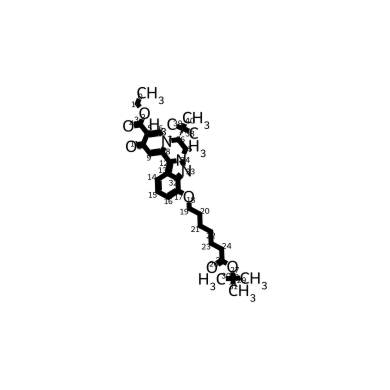 CCOC(=O)c1cn2c(cc1=O)-c1c3cccc(OCCCCCCC(=O)OC(C)(C)C)c3nn1C[C@H]2C(C)(C)C